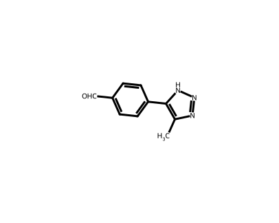 Cc1nn[nH]c1-c1ccc(C=O)cc1